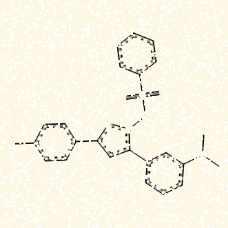 CN(C)c1cccc(-c2cc(-c3ccc(Cl)cc3)nn2NS(=O)(=O)c2ccccc2)c1